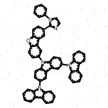 c1ccc(-n2ccnc2-c2ccc3oc4ccc(-n5c6ccc(-n7c8ccccc8c8ccccc87)cc6c6cc(-n7c8ccccc8c8ccccc87)ccc65)cc4c3c2)cc1